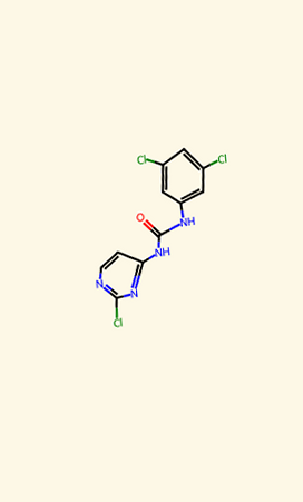 O=C(Nc1cc(Cl)cc(Cl)c1)Nc1ccnc(Cl)n1